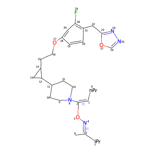 CCC/C=C(/O/N=C(\C)C(C)C)N1CCC(C2CC2CCOc2ccc(Cc3nnco3)c(F)c2)CC1